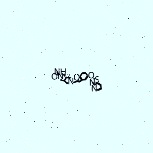 NC(=O)N1CC2CN(Cc3cc4cc(Oc5nc6ncccc6s5)ccc4o3)CC2C1